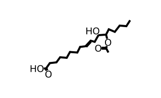 CCCCCC(OC(C)=O)C(O)CC=CCCCCCCCC(=O)O